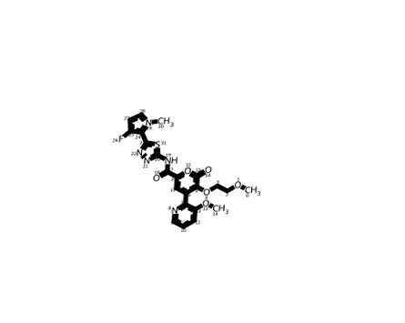 COCCOc1c(-c2ncccc2OC)cc(C(=O)Nc2nnc(-c3c(F)ccn3C)s2)oc1=O